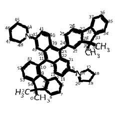 CC1(C)C2=C(CCC=C2)c2c(-c3c4ccc(N5CCCC5)cc4c(-c4ccc5c(c4)C(C)(C)c4ccccc4-5)c4ccc(N5CCCCC5)cc34)cccc21